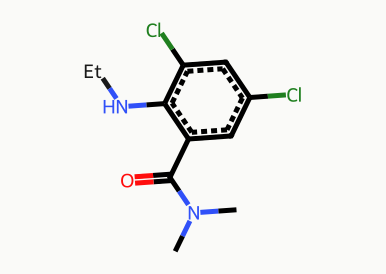 CCNc1c(Cl)cc(Cl)cc1C(=O)N(C)C